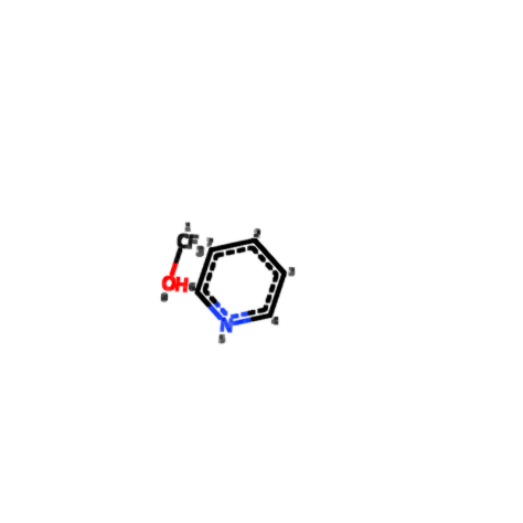 OC(F)(F)F.c1ccncc1